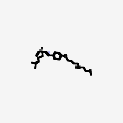 C=C[C@@](C)(/C=C/c1ccc(OCCCCNCCSC)cc1)CCC=C(C)C